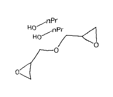 C(OCC1CO1)C1CO1.CCCO.CCCO